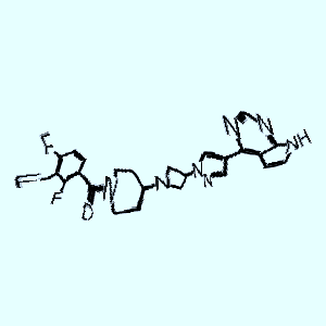 O=C(c1ccc(F)c(F)c1F)N1CCC(N2CC(n3cc(-c4ncnc5[nH]ccc45)cn3)C2)CC1